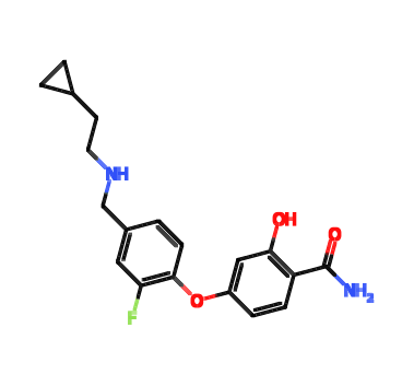 NC(=O)c1ccc(Oc2ccc(CNCCC3CC3)cc2F)cc1O